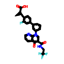 O=C(NCC(F)(F)F)c1cn(-c2cccc(-c3ccc(C4CC4C(=O)O)c(F)c3)c2)c2ncccc2c1=O